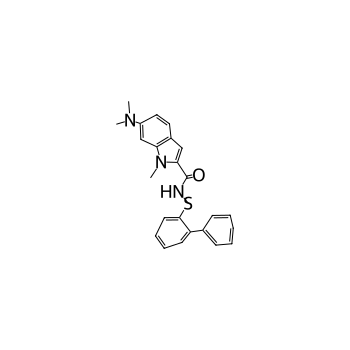 CN(C)c1ccc2cc(C(=O)NSc3ccccc3-c3ccccc3)n(C)c2c1